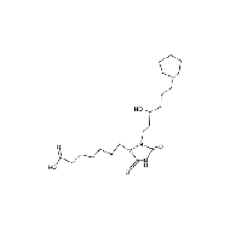 O=C(O)CCCCCCC1C(=O)NC(=O)N1CCC(O)CCCC1CCCCC1